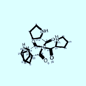 O=C([C@@H]1CCCN1)[N+](C(=O)[C@@H]1CCCN1)(C(=O)[C@@H]1CCCN1)C(=O)[C@@H]1CCCN1